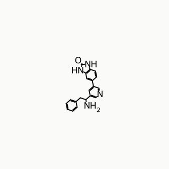 NC(Cc1ccccc1)c1cncc(-c2ccc3[nH]c(=O)[nH]c3c2)c1